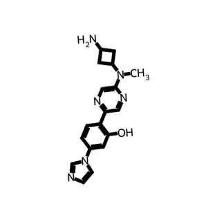 CN(c1cnc(-c2ccc(-n3ccnc3)cc2O)cn1)C1CC(N)C1